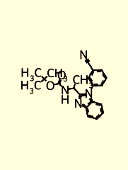 CC(NC(=O)OC(C)(C)C)c1nc2ccccc2n1-c1cccc(C#N)c1